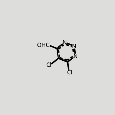 O=Cc1nnnc(Cl)c1Cl